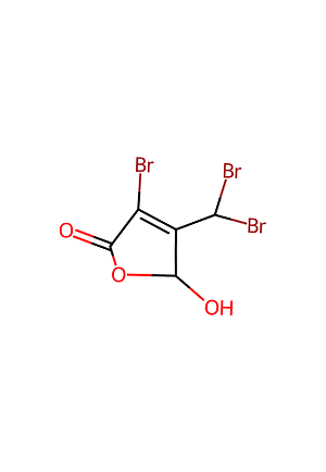 O=C1OC(O)C(C(Br)Br)=C1Br